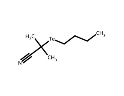 CCCC[Te]C(C)(C)C#N